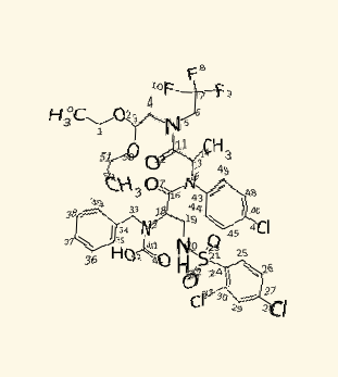 CCOC(CN(CC(F)(F)F)C(=O)C(C)N(C(=O)C(CNS(=O)(=O)c1ccc(Cl)cc1Cl)N(Cc1ccccc1)C(=O)O)c1ccc(Cl)cc1)OCC